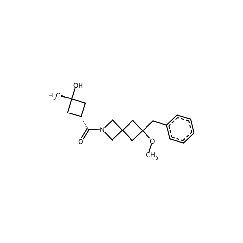 COC1(Cc2ccccc2)CC2(CN(C(=O)[C@H]3C[C@@](C)(O)C3)C2)C1